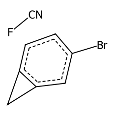 Brc1ccc2c(c1)C2.N#CF